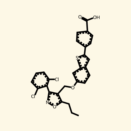 CCCc1onc(-c2c(Cl)cccc2Cl)c1COc1ccc2cc(-c3ccc(C(=O)O)cc3)sc2c1